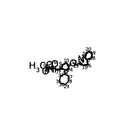 CS(=O)(=O)NC(=O)Cc1ccc(OCc2ccc3ccccc3n2)cc1C1CCCCCC1